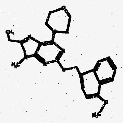 CCc1nc2c(N3CCOCC3)nc(SCc3ccc(OC)c4ccccc34)nc2n1C